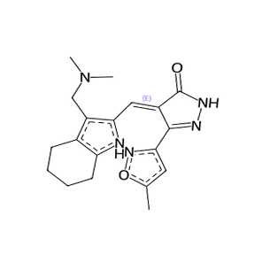 Cc1cc(C2=NNC(=O)/C2=C/c2[nH]c3c(c2CN(C)C)CCCC3)no1